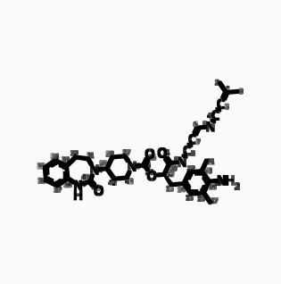 CC(C)=C=C=NC=C=C=NC(=O)[C@@H](Cc1cc(C)c(N)c(C)c1)OC(=O)N1CCC(N2CCc3ccccc3NC2=O)CC1